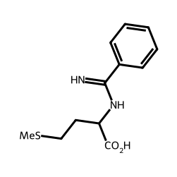 CSCCC(NC(=N)c1ccccc1)C(=O)O